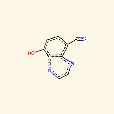 N#Cc1ccc(O)c2nccnc12